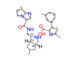 CC1C[C@H]2CN[C@H](CNC(=O)c3cnc4sccn34)[C@H]2C1.Cc1cccc(-c2sc(C)nc2C(=O)O)c1